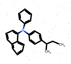 CCC(C)c1ccc(N(c2ccccc2)c2cccc3ccccc23)cc1